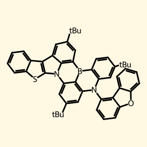 CC(C)(C)c1ccc2c(c1)N(c1cccc3oc4ccccc4c13)c1cc(C(C)(C)C)cc3c1B2c1cc(C(C)(C)C)cc2c4c5ccccc5sc4n-3c12